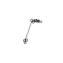 CCC(C)OCCOC(CCCCCCCCCCCCCCCCCCCC(=O)Oc1ccccc1)OC